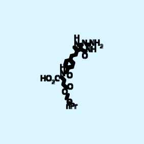 CCCOCCOC(=O)CC[C@H](NC(=O)c1ccc(CCc2c[nH]c3nc(N)[nH]c(=O)c23)cc1)C(=O)O